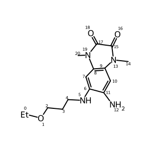 CCOCCCNc1cc2c(cc1N)n(C)c(=O)c(=O)n2C